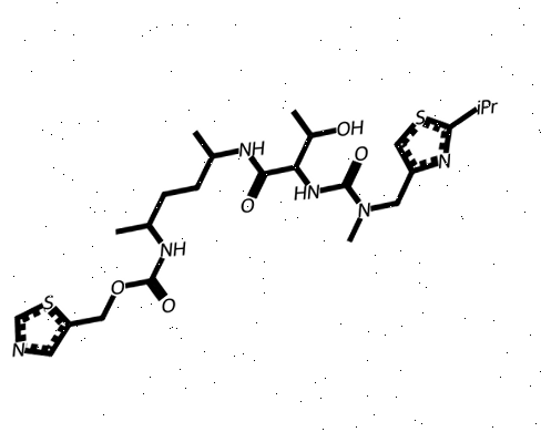 CC(CCC(C)NC(=O)C(NC(=O)N(C)Cc1csc(C(C)C)n1)C(C)O)NC(=O)OCc1cncs1